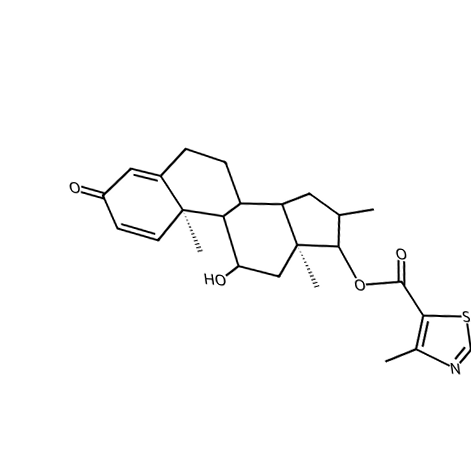 Cc1ncsc1C(=O)OC1C(C)CC2C3CCC4=CC(=O)C=C[C@]4(C)C3C(O)C[C@@]21C